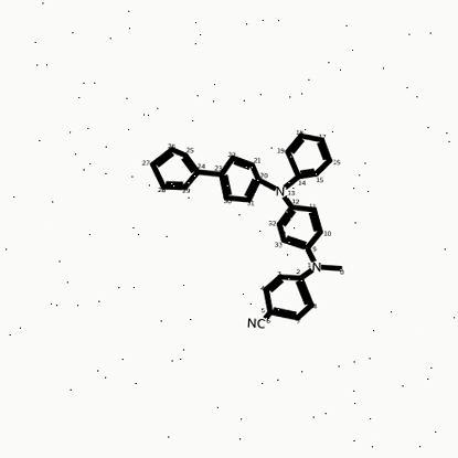 CN(c1ccc(C#N)cc1)c1ccc(N(c2ccccc2)c2ccc(-c3ccccc3)cc2)cc1